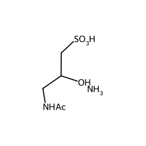 CC(=O)NCC(O)CS(=O)(=O)O.N